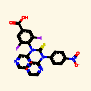 O=C(O)c1cc(I)c(N(C(=S)N(c2ccc([N+](=O)[O-])cc2)c2cnccn2)c2cnccn2)c(I)c1